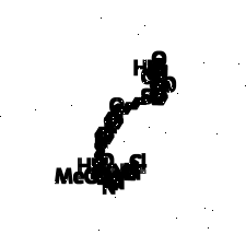 COc1cc2ncnc(Nc3ccc(F)c(Cl)c3)c2cc1NC(=O)/C=C/CN1CCC(N2CCN(C(=O)CCCCCSc3cccc4c3CN(C3CCC(=O)NC3=O)C4=O)CC2)CC1